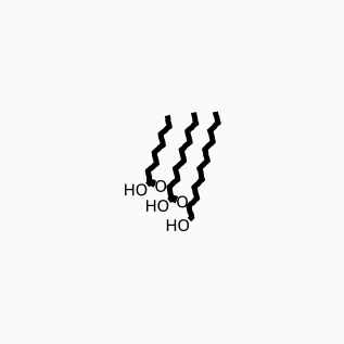 CCCCCCCC(=O)O.CCCCCCCCCC(=O)O.CCCCCCCCCCCCO